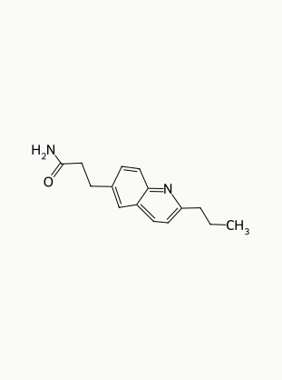 CCCc1ccc2cc(CCC(N)=O)ccc2n1